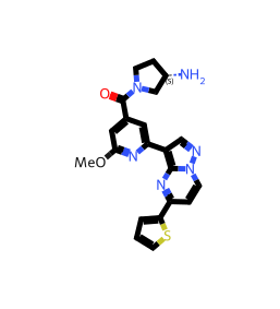 COc1cc(C(=O)N2CC[C@H](N)C2)cc(-c2cnn3ccc(-c4cccs4)nc23)n1